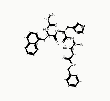 CCC(C)[C@H](NC(=O)[C@H](Cc1c[nH]cn1)NC(=O)[C@H](Cc1cccc2ccccc12)NC(=O)OC(C)(C)C)[C@@H](O)CC(=O)OCc1ccccc1